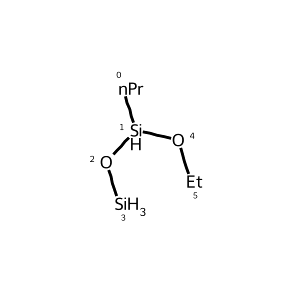 CCC[SiH](O[SiH3])OCC